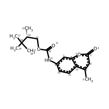 Cc1cc(=O)oc2cc(NC(=O)OC[C@@H](C)C(C)(C)C)ccc12